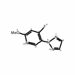 COc1cc(F)c(-n2nccn2)cn1